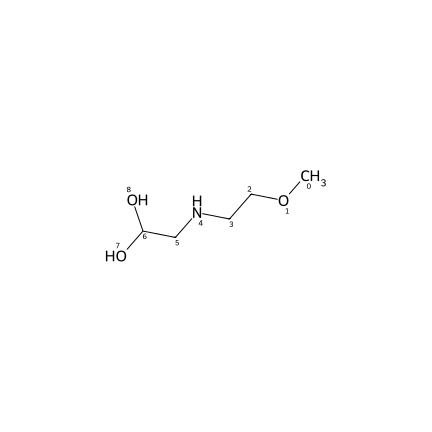 COCCNCC(O)O